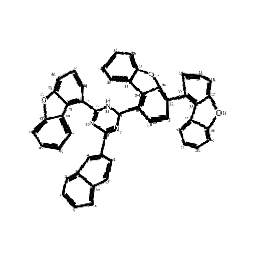 c1ccc2cc(C3=NC(c4ccc(-c5cccc6oc7ccccc7c56)c5oc6ccccc6c45)NC(c4cccc5oc6ccccc6c45)=N3)ccc2c1